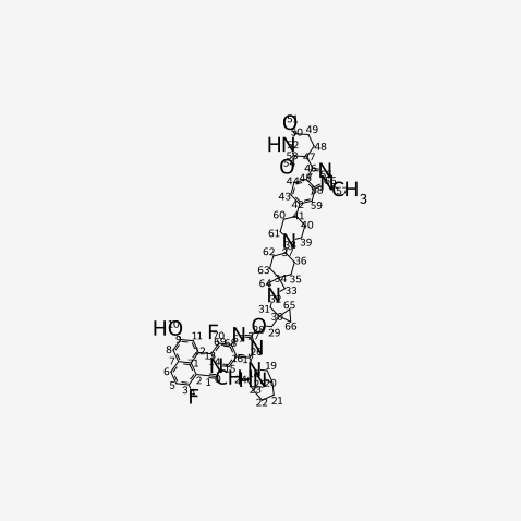 C#Cc1c(F)ccc2cc(O)cc(-c3ncc4c(N5CC6CCC(C5)N6)nc(OCC5(CN6CC7(CCC(N8CCC(c9ccc%10c(C%11CCC(=O)NC%11=O)nn(C)c%10c9)CC8)CC7)C6)CC5)nc4c3F)c12